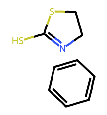 SC1=NCCS1.c1ccccc1